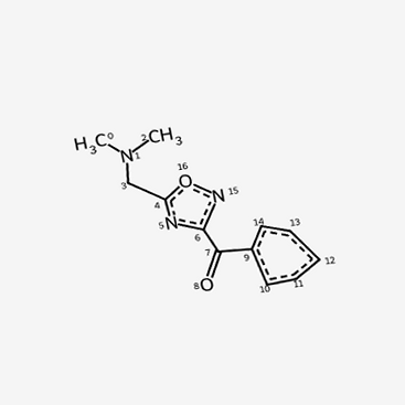 CN(C)Cc1nc(C(=O)c2ccccc2)no1